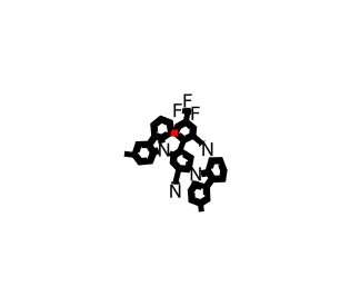 Cc1ccc2c(c1)c1ccccc1n2-c1cc(-c2ccc(C(F)(F)F)cc2C#N)c(-n2c3ccccc3c3cc(C)ccc32)cc1C#N